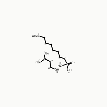 CCCCCCCCCCCCCCCCOP(=O)(O)O.CCCCN(CCO)CCCC